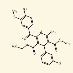 C=C(C1=C(C(=O)OCC)C(c2cccc(Cl)c2)C(C(=O)OC)=C(C)N1)c1ccc(O)c(OC)c1